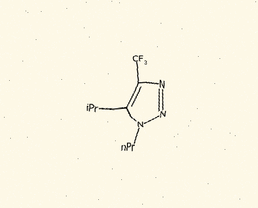 CCCn1nnc(C(F)(F)F)c1C(C)C